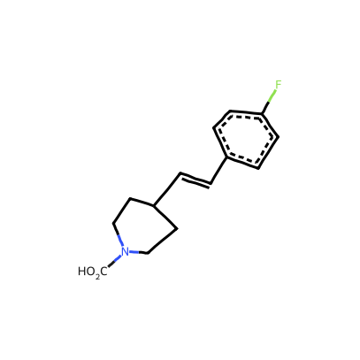 O=C(O)N1CCC(/C=C/c2ccc(F)cc2)CC1